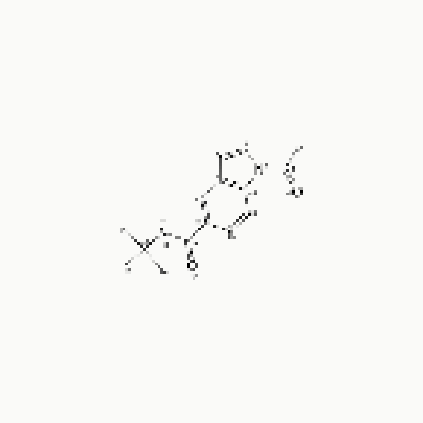 CC(=O)n1ccc2cc(C(=O)NC(C)(C)C)ccc21